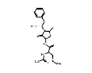 CSCCC(NC(=O)OCC(C)C)C(=O)NC1CC(C)N(C(Cc2ccccc2)C(=O)O)C1=O